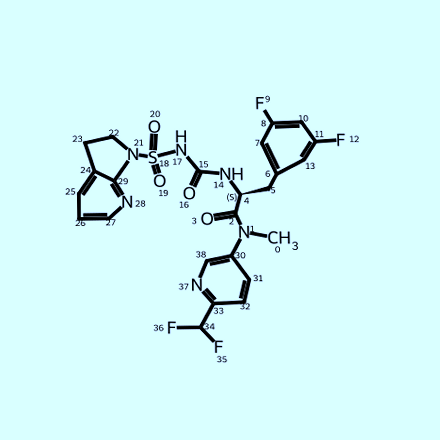 CN(C(=O)[C@H](Cc1cc(F)cc(F)c1)NC(=O)NS(=O)(=O)N1CCc2cccnc21)c1ccc(C(F)F)nc1